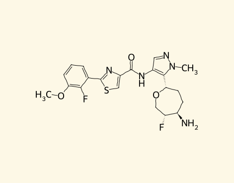 COc1cccc(-c2nc(C(=O)Nc3cnn(C)c3[C@@H]3CC[C@@H](N)[C@H](F)CO3)cs2)c1F